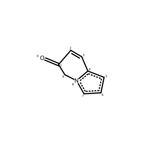 O=C1C=Cc2cccn2C1